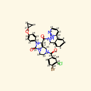 O=C(NCc1ccccc1-c1cccnn1)c1c2n(c(=O)n1-c1ccc(OC3CC3)cc1)CCN(C(=O)c1ccc(Br)c(Cl)c1)C2